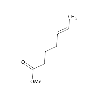 C/C=C/CCCC(=O)OC